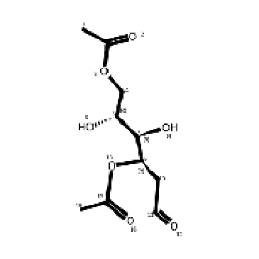 CC(=O)OC[C@@H](O)[C@@H](O)[C@@H](CC=O)OC(C)=O